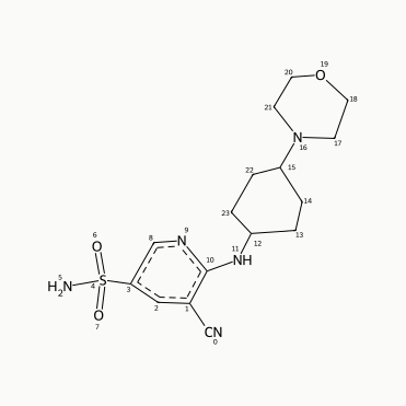 N#Cc1cc(S(N)(=O)=O)cnc1NC1CCC(N2CCOCC2)CC1